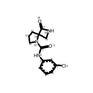 O=C(Nc1cccc(Cl)c1)N1CCCC12CNC2=O